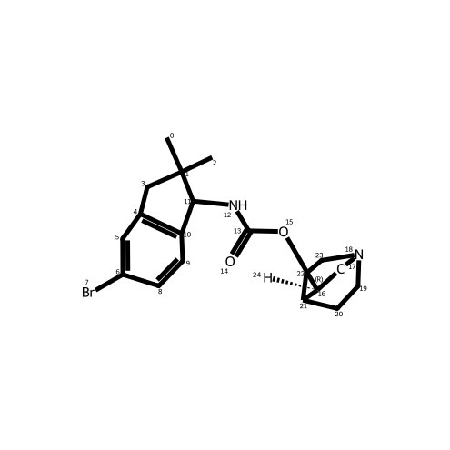 CC1(C)Cc2cc(Br)ccc2C1NC(=O)O[C@H]1CN2CCC1CC2